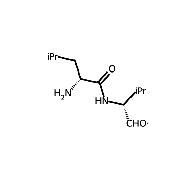 CC(C)C[C@@H](N)C(=O)N[C@@H]([C]=O)C(C)C